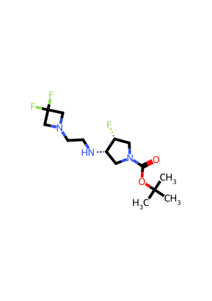 CC(C)(C)OC(=O)N1C[C@@H](F)[C@@H](NCCN2CC(F)(F)C2)C1